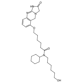 O=C1CN2Cc3c(cccc3OCCCCCC(=O)N(CCCCCCO)C3CCCCC3)N=C2N1